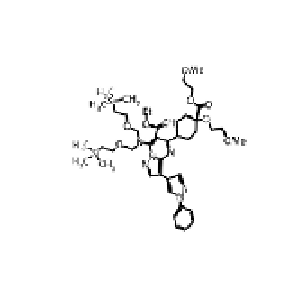 C=C(OCC)c1c(C2CCC(OCCOC)(C(=O)OCCOC)CC2)nc2c(-c3cnn(-c4ccccc4)c3)cnn2c1N(COCC[Si](C)(C)C)COCC[Si](C)(C)C